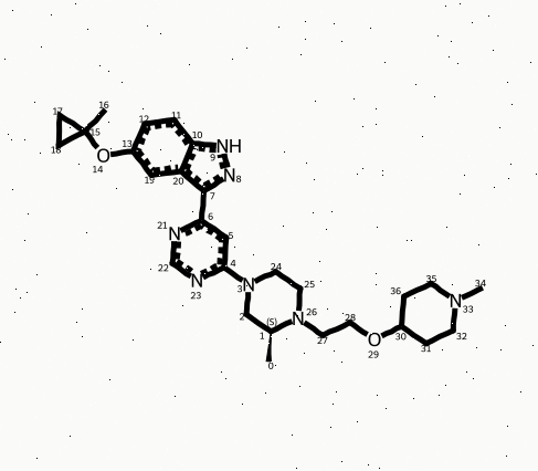 C[C@H]1CN(c2cc(-c3n[nH]c4ccc(OC5(C)CC5)cc34)ncn2)CCN1CCOC1CCN(C)CC1